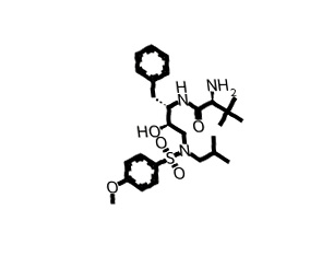 COc1ccc(S(=O)(=O)N(CC(C)C)C[C@@H](O)[C@H](Cc2ccccc2)NC(=O)[C@@H](N)C(C)(C)C)cc1